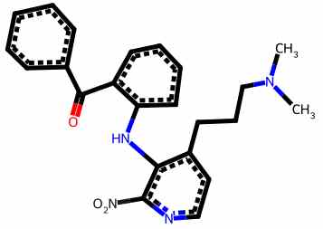 CN(C)CCCc1ccnc([N+](=O)[O-])c1Nc1ccccc1C(=O)c1ccccc1